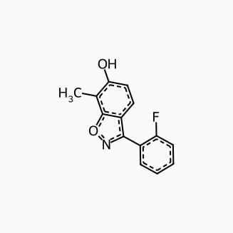 Cc1c(O)ccc2c(-c3ccccc3F)noc12